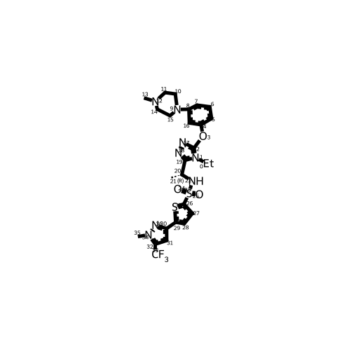 CCn1c(Oc2cccc(N3CCN(C)CC3)c2)nnc1[C@@H](C)NS(=O)(=O)c1ccc(-c2cc(C(F)(F)F)n(C)n2)s1